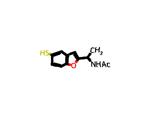 CC(=O)NC(C)c1cc2cc(S)ccc2o1